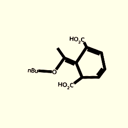 CCCCOC(C)=C1C(C(=O)O)=CC=CC1C(=O)O